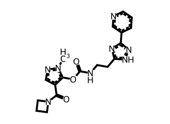 Cn1ncc(C(=O)N2CCC2)c1OC(=O)NCCc1nc(-c2cccnc2)n[nH]1